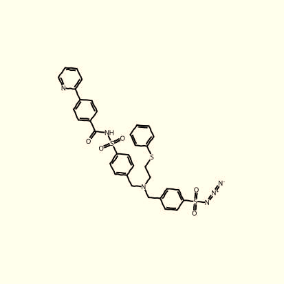 [N-]=[N+]=NS(=O)(=O)c1ccc(CN(CCSc2ccccc2)Cc2ccc(S(=O)(=O)NC(=O)c3ccc(-c4ccccn4)cc3)cc2)cc1